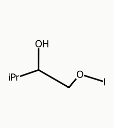 CC(C)C(O)COI